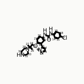 Cn1nccc1-c1cc(NC(=O)Nc2ccc(Cl)cc2)ccc1OCC(C)(C)N1CCNCC1